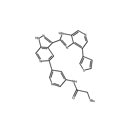 CC(C)(C)CC(=O)Nc1cncc(-c2cc3c(-c4nc5c(-c6ccsc6)cncc5[nH]4)n[nH]c3cn2)c1